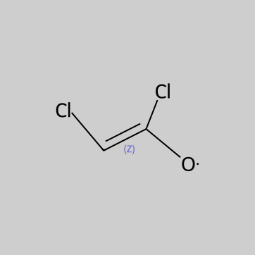 [O]/C(Cl)=C/Cl